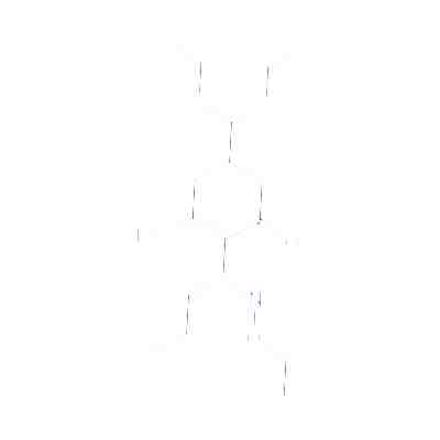 CCCC(=NOCC)C1=C(O)CC(C(SCC)SCC)CC1=O